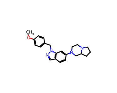 COc1ccc(Cn2ncc3ccc(N4CCN5CCCC5C4)cc32)cc1